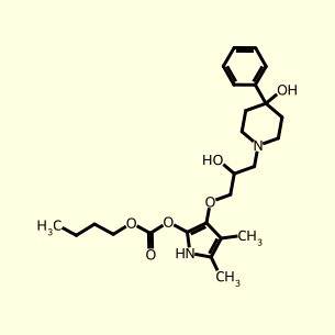 CCCCOC(=O)Oc1[nH]c(C)c(C)c1OCC(O)CN1CCC(O)(c2ccccc2)CC1